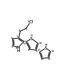 ClCCc1cc[nH]c1.c1ccsc1.c1ccsc1